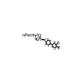 CCCCCC1COC(C#Cc2ccc(-c3ccc(F)c(F)c3)cc2)OC1